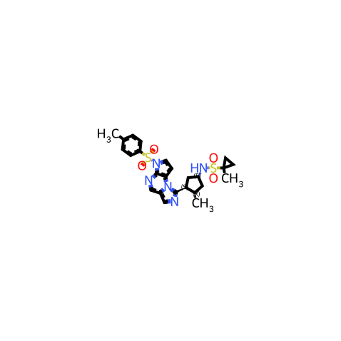 Cc1ccc(S(=O)(=O)n2ccc3c2ncc2cnc([C@H]4C[C@@H](NS(=O)(=O)C5(C)CC5)C[C@H]4C)n23)cc1